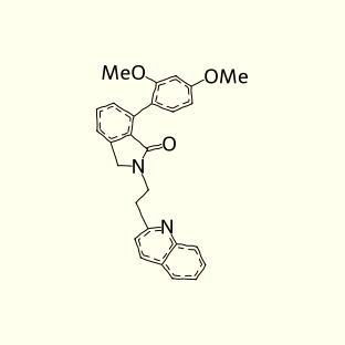 COc1ccc(-c2cccc3c2C(=O)N(CCc2ccc4ccccc4n2)C3)c(OC)c1